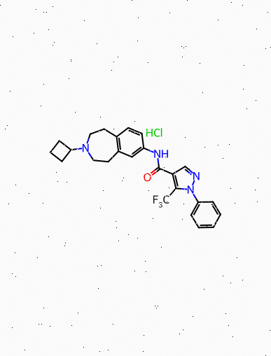 Cl.O=C(Nc1ccc2c(c1)CCN(C1CCC1)CC2)c1cnn(-c2ccccc2)c1C(F)(F)F